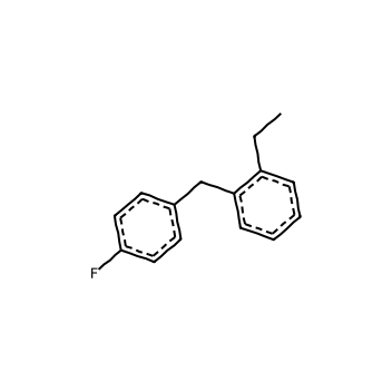 CCc1ccccc1Cc1ccc(F)cc1